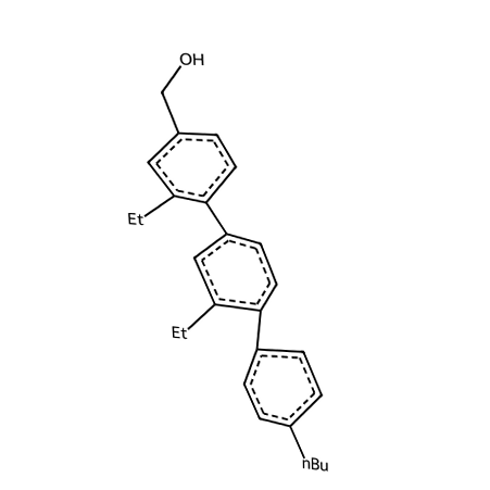 CCCCc1ccc(-c2ccc(-c3ccc(CO)cc3CC)cc2CC)cc1